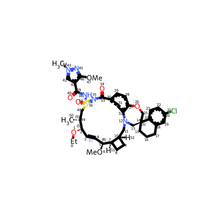 CCO[C@H]1/C=C/[C@H](OC)[C@@H]2CC[C@H]2CN2C[C@@]3(CCCc4cc(Cl)ccc43)COc3ccc(cc32)C(=O)N=S(=O)(NC(=O)c2cn(C)nc2OC)C[C@H]1C